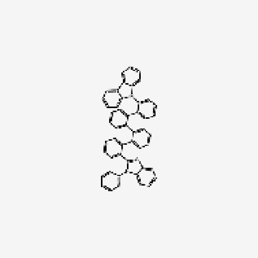 c1ccc(-n2c(-c3ccccc3-c3ccccc3-c3ccccc3-c3ccccc3-n3c4ccccc4c4ccccc43)nc3ccccc32)cc1